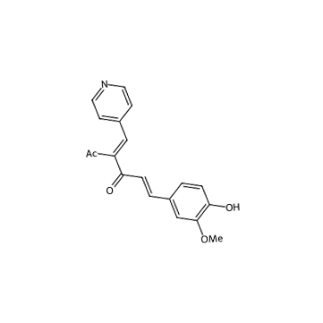 COc1cc(C=CC(=O)C(=Cc2ccncc2)C(C)=O)ccc1O